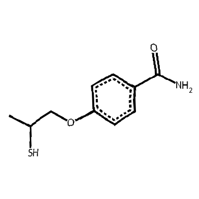 CC(S)COc1ccc(C(N)=O)cc1